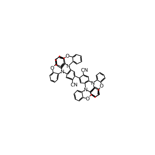 N#Cc1cc(N2c3ccccc3Oc3ccccc32)c(N2c3ccccc3Oc3ccccc32)cc1-c1cc(N2c3ccccc3Oc3ccccc32)c(N2c3ccccc3Oc3ccccc32)cc1C#N